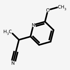 COc1cccc(C(C)C#N)n1